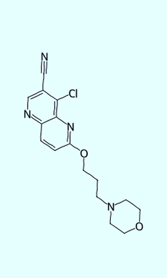 N#Cc1cnc2ccc(OCCCN3CCOCC3)nc2c1Cl